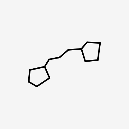 [C](CC1CCCC1)CC1CCCC1